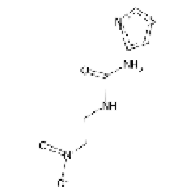 NC(=O)NCC[N+](=O)[O-].c1cscn1